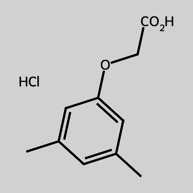 Cc1cc(C)cc(OCC(=O)O)c1.Cl